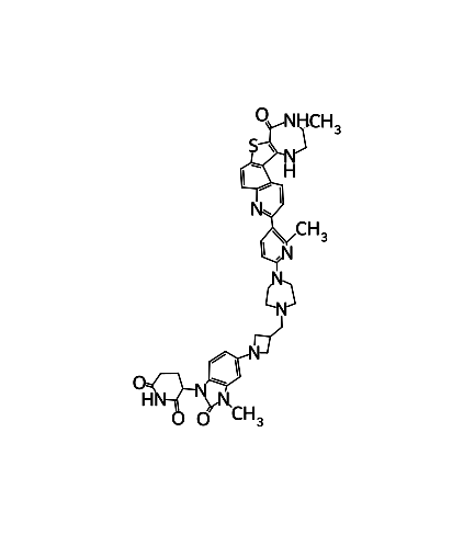 Cc1nc(N2CCN(CC3CN(c4ccc5c(c4)n(C)c(=O)n5C4CCC(=O)NC4=O)C3)CC2)ccc1-c1ccc2c(ccc3sc4c(c32)NC[C@@H](C)NC4=O)n1